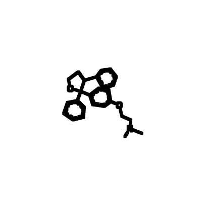 CN(C)CCOc1ccc(C2(c3ccccc3)OCCC2c2ccccc2)cc1